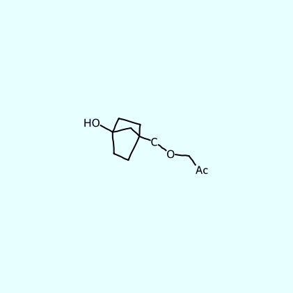 CC(=O)COCC12CCC(O)(CC1)C2